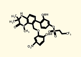 COc1ccc([N+](=O)[O-])cc1OCc1c(-c2ccc(OS(=O)(=O)CCC(F)(F)F)cc2OC)ccc2c1N(C)C(=O)C(C)(C)N2